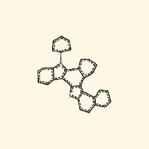 c1ccc(-n2c3ccccc3c3c4sc5ccc6ccccc6c5c4c4ccccc4c32)cc1